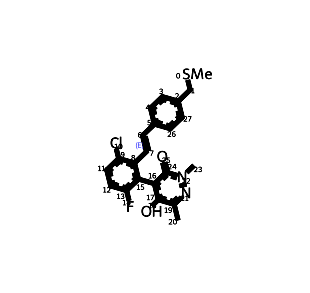 CSCc1ccc(/C=C/c2c(Cl)ccc(F)c2-c2c(O)c(C)nn(C)c2=O)cc1